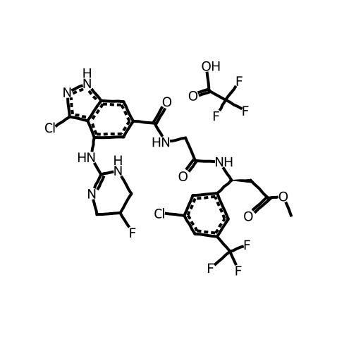 COC(=O)C[C@H](NC(=O)CNC(=O)c1cc(NC2=NCC(F)CN2)c2c(Cl)n[nH]c2c1)c1cc(Cl)cc(C(F)(F)F)c1.O=C(O)C(F)(F)F